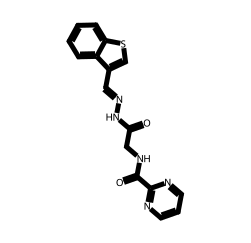 O=C(CNC(=O)c1ncccn1)N/N=C/c1csc2ccccc12